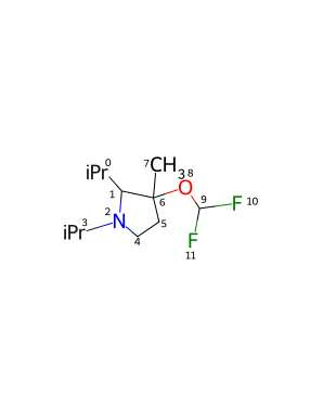 CC(C)C1N(C(C)C)CCC1(C)OC(F)F